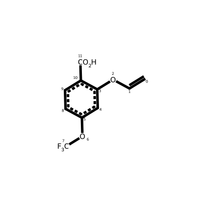 C=COc1cc(OC(F)(F)F)ccc1C(=O)O